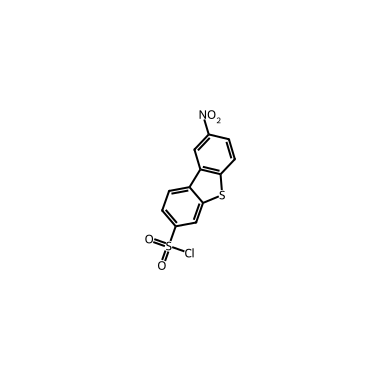 O=[N+]([O-])c1ccc2sc3cc(S(=O)(=O)Cl)ccc3c2c1